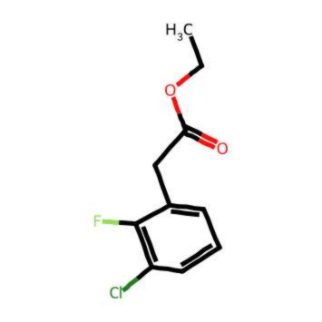 CCOC(=O)Cc1cccc(Cl)c1F